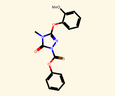 COc1ccccc1Oc1nn(C(=S)Oc2ccccc2)c(=O)n1C